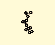 c1ccc(-n2c3ccccc3c3cc(-c4ccc5c(c4)c4ccccc4n5-c4ccc(-c5c6ccccc6c(-c6cccc7ccccc67)c6ccccc56)cc4)ccc32)cc1